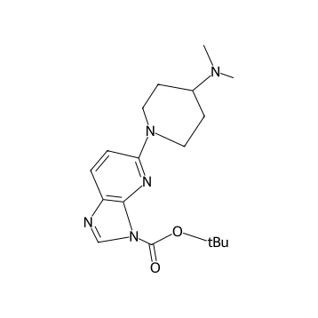 CN(C)C1CCN(c2ccc3ncn(C(=O)OC(C)(C)C)c3n2)CC1